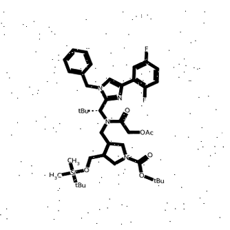 CC(=O)OCC(=O)N(CC1CN(C(=O)OC(C)(C)C)CC1CO[Si](C)(C)C(C)(C)C)[C@@H](c1nc(-c2cc(F)ccc2F)cn1Cc1ccccc1)C(C)(C)C